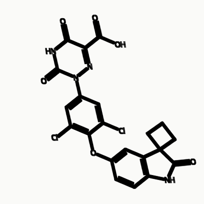 O=C(O)c1nn(-c2cc(Cl)c(Oc3ccc4c(c3)C3(CCC3)C(=O)N4)c(Cl)c2)c(=O)[nH]c1=O